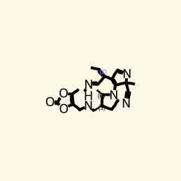 C/C=C(\C=NC)C1=C(N2CC[C@@H](CNCc3oc(=O)oc3C)[C@H]2C)C(C)(C#N)N=C1